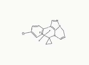 FC(F)(F)C1(N2C=CCn3ncc(-c4ccc(Cl)cc4)c32)CC1